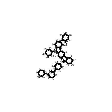 c1ccc(-c2cccc(-c3ccc(-n4c5ccccc5c5cc6c7c8oc9ccccc9c8ccc7n(-c7ccccc7)c6cc54)cc3)n2)cc1